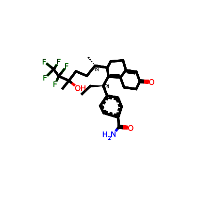 CC[C@@H](C1=C2CCC(=O)C=C2CCC1[C@@H](C)CCC(C)(O)C(F)(F)C(F)(F)F)c1ccc(C(N)=O)cc1